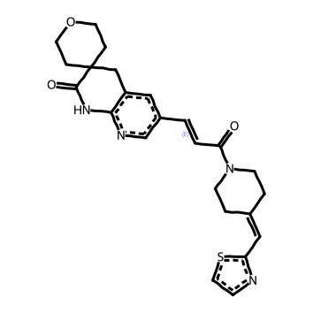 O=C(/C=C/c1cnc2c(c1)CC1(CCOCC1)C(=O)N2)N1CCC(=Cc2nccs2)CC1